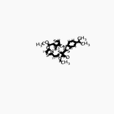 CCn1c(=O)/c(=C2\Sc3cc(C(C)C)ccc3N2C)s/c1=C\c1scc[n+]1Cc1ccsc1C(=O)OC